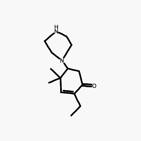 CCC1=CC(C)(C)C(N2CCNCC2)CC1=O